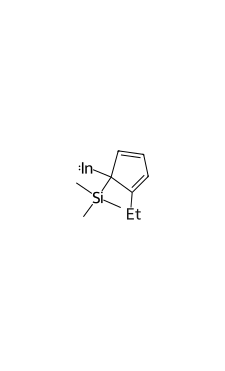 CCC1=CC=C[C]1([In])[Si](C)(C)C